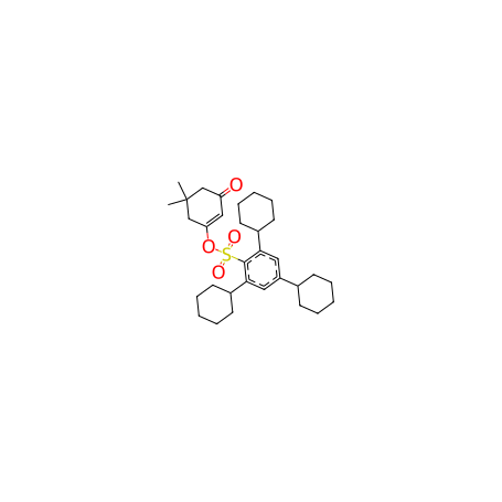 CC1(C)CC(=O)C=C(OS(=O)(=O)c2c(C3CCCCC3)cc(C3CCCCC3)cc2C2CCCCC2)C1